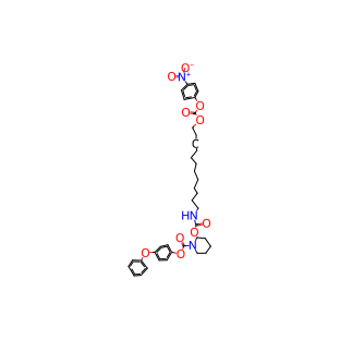 O=C(NCCCCCCCCCCCCOC(=O)Oc1ccc([N+](=O)[O-])cc1)OC1CCCCN1C(=O)Oc1ccc(Oc2ccccc2)cc1